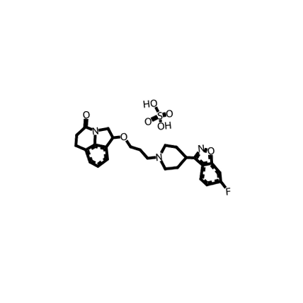 O=C1CCc2cccc3c2N1CC3OCCCN1CCC(c2noc3cc(F)ccc23)CC1.O=S(=O)(O)O